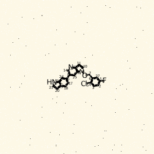 Fc1ccc(Cl)c(COn2ccc3ncc(-c4ccc5cc[nH]c5c4)cc32)c1